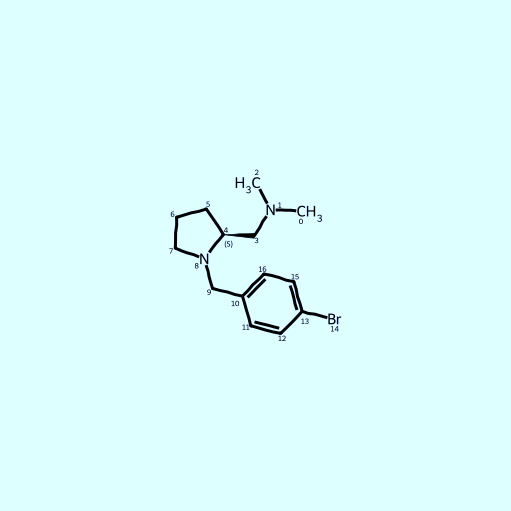 CN(C)C[C@@H]1CCCN1Cc1ccc(Br)cc1